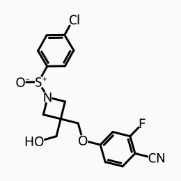 N#Cc1ccc(OCC2(CO)CN([S+]([O-])c3ccc(Cl)cc3)C2)cc1F